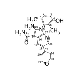 Cc1ccc(O)c(C)c1-n1c(N)c(C(N)=O)c2cc(C3=CCOCC3)cnc21